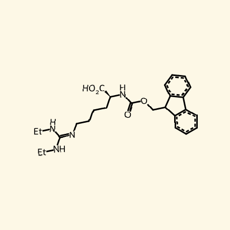 CCNC(=NCCCC[C@H](NC(=O)OCC1c2ccccc2-c2ccccc21)C(=O)O)NCC